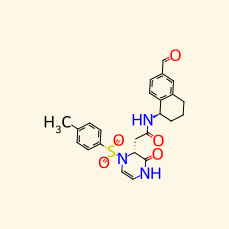 Cc1ccc(S(=O)(=O)N2C=CNC(=O)[C@H]2CC(=O)N[C@@H]2CCCc3cc(C=O)ccc32)cc1